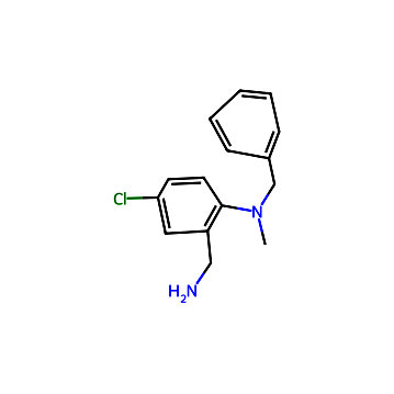 CN(Cc1ccccc1)c1ccc(Cl)cc1CN